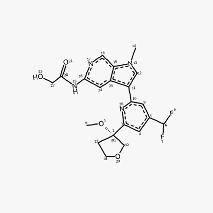 CO[C@@]1(c2cc(C(F)F)cc(-c3cn(C)c4cnc(NC(=O)CO)cc34)n2)CCOC1